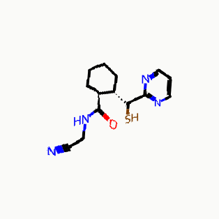 N#CCNC(=O)[C@H]1CCCC[C@@H]1C(S)c1ncccn1